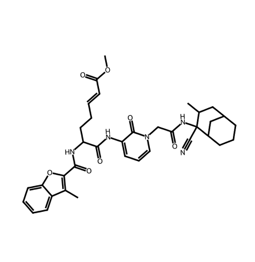 COC(=O)/C=C/CCC(NC(=O)c1oc2ccccc2c1C)C(=O)Nc1cccn(CC(=O)NC2(C#N)C(C)CC3CCCC2C3)c1=O